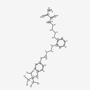 CC(C)[Si](Oc1ccc(COCCCc2ccccc2CCCCNC(=O)C(N)=O)cc1)(C(C)C)C(C)C